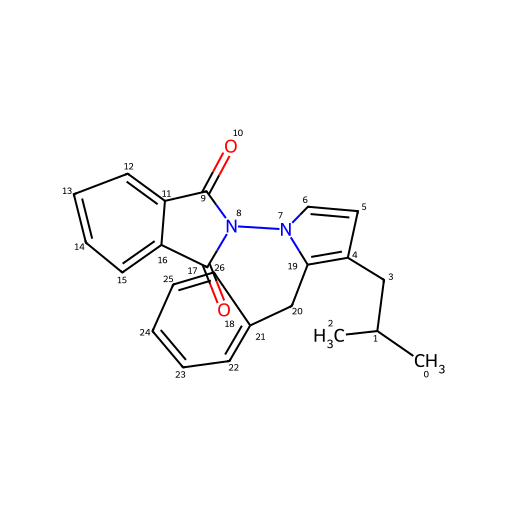 CC(C)Cc1ccn(N2C(=O)c3ccccc3C2=O)c1Cc1ccccc1